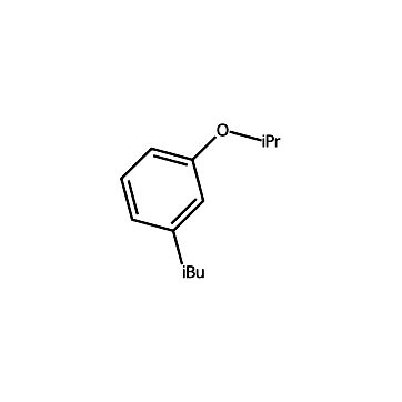 CCC(C)c1cccc(OC(C)C)c1